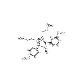 CCCCCCCCCCCC[CH2][Ni][CH2]CCCCCCCCCCCC.CCCCCCCCc1ccc(C2=CC=C(c3cccc(CCCCC)c3)[N+]2=[N-])cc1